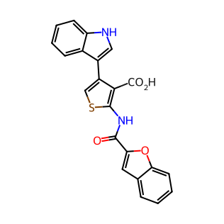 O=C(Nc1scc(-c2c[nH]c3ccccc23)c1C(=O)O)c1cc2ccccc2o1